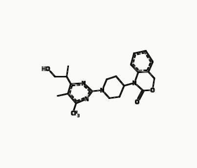 Cc1c(C(C)CO)nc(N2CCC(N3C(=O)OCc4ccccc43)CC2)nc1C(F)(F)F